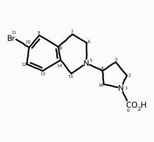 O=C(O)N1CCC(N2CCc3cc(Br)ccc3C2)C1